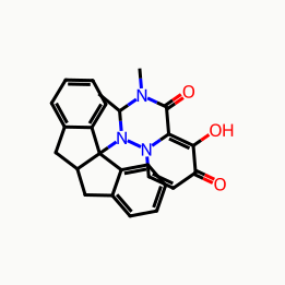 CC1N(C)C(=O)c2c(O)c(=O)ccn2N1C12c3ccccc3CC1Cc1ccccc12